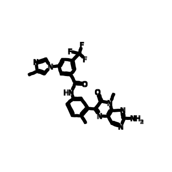 Cc1cn(-c2cc(C(=O)Nc3ccc(C)c(-c4nc5cnc(N)nc5n(C)c4=O)c3)cc(C(F)(F)F)c2)cn1